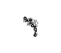 Cc1nsc(Nc2cnc3ccccc3n2)c1C(=O)Nc1cccc(C(=O)N2CCN(CCc3ccccn3)CC2)c1